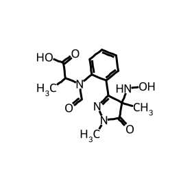 CC(C(=O)O)N(C=O)c1ccccc1C1=NN(C)C(=O)C1(C)NO